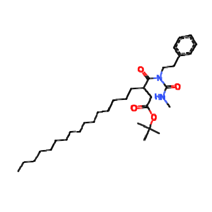 CCCCCCCCCCCCCCCCC(CC(=O)OC(C)(C)C)C(=O)N(CCc1ccccc1)C(=O)NC